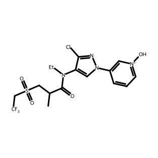 CCN(C(=O)C(C)CS(=O)(=O)CC(F)(F)F)c1cn(-c2ccc[n+](O)c2)nc1Cl